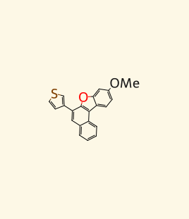 COc1ccc2c(c1)oc1c(-c3ccsc3)cc3ccccc3c12